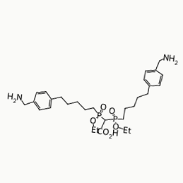 CCOP(=O)(CCCCCc1ccc(CN)cc1)C(C(=O)O)P(=O)(CCCCCc1ccc(CN)cc1)OCC